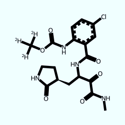 [2H]C([2H])([2H])OC(=O)Nc1ccc(Cl)cc1C(=O)NC(C[C@@H]1CCNC1=O)C(=O)C(=O)NC